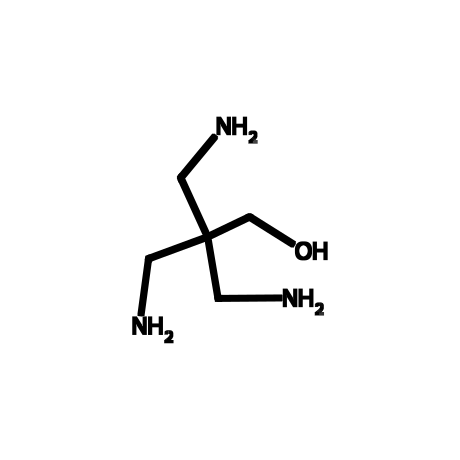 NCC(CN)(CN)CO